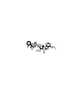 CC1(n2cnc3c(N)ncnc32)O[C@H](CNS(=O)(=O)NC2(c3ccccc3F)COC2)[C@@H](O)[C@H]1O